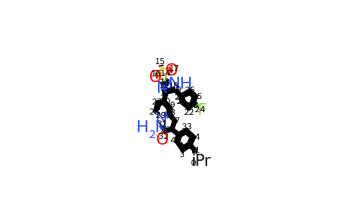 CC(C)Cc1ccc(C(Cc2cc(-c3nc(S(C)(=O)=O)[nH]c3-c3ccc(F)cc3)ccn2)C(N)=O)cc1